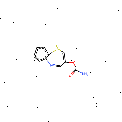 NC(=O)OC1=C[SH4]c2ccccc2N=C1